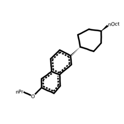 CCCCCCCC[C@H]1CC[C@H](c2ccc3cc(OCCC)ccc3c2)CC1